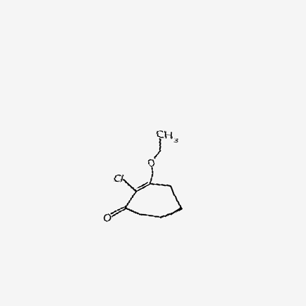 CCOC1=C(Cl)C(=O)CCCC1